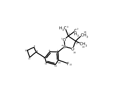 CC1(C)OB(c2cc(C3CCC3)ccc2F)OC1(C)C